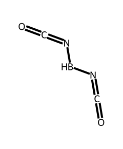 O=C=NBN=C=O